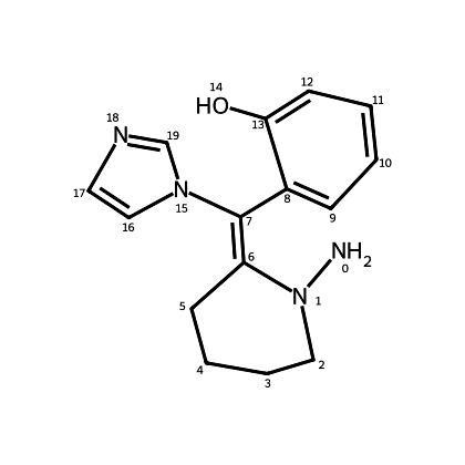 NN1CCCCC1=C(c1ccccc1O)n1ccnc1